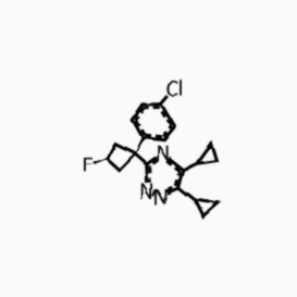 F[C@H]1C[C@](c2ccc(Cl)cc2)(c2nnc(C3CC3)c(C3CC3)n2)C1